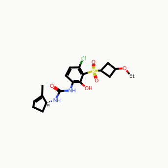 CCOC1CC(S(=O)(=O)c2c(Cl)ccc(NC(=O)N[C@@H]3CCC=C3C)c2O)C1